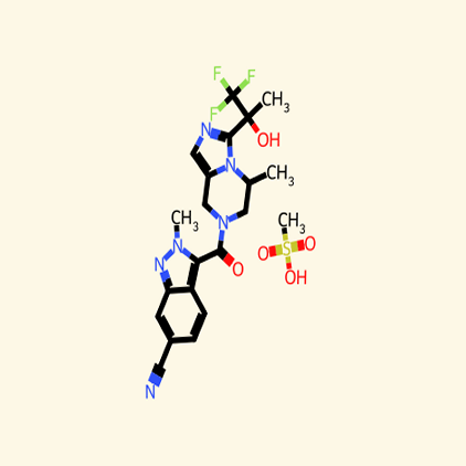 CC1CN(C(=O)c2c3ccc(C#N)cc3nn2C)Cc2cnc(C(C)(O)C(F)(F)F)n21.CS(=O)(=O)O